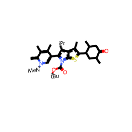 C=C1C(C)=C(C)C(c2c(C(C)C)c3c(C)c(C4CC(C)C(=O)CC4C)sc3n2C(=O)OC(C)(C)C)=CN1NC